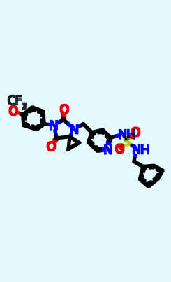 O=C1N(c2ccc(OC(F)(F)F)cc2)C(=O)C2(CC2)N1Cc1ccnc(NS(=O)(=O)NCc2ccccc2)c1